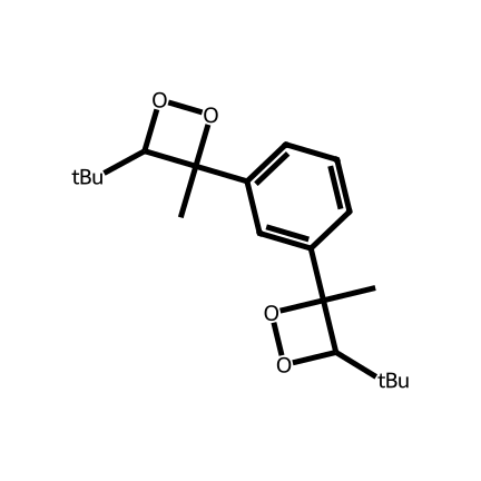 CC(C)(C)C1OOC1(C)c1cccc(C2(C)OOC2C(C)(C)C)c1